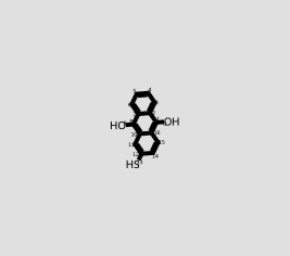 Oc1c2ccccc2c(O)c2cc(S)ccc12